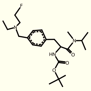 CCN(CCF)Cc1ccc(CC(NC(=O)OC(C)(C)C)C(=O)N(C)C(C)C)cc1